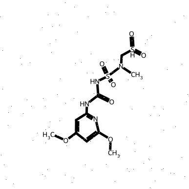 COc1cc(NC(=O)NS(=O)(=O)N(C)C[SH](=O)=O)nc(OC)c1